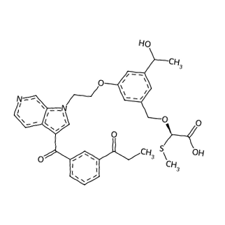 CCC(=O)c1cccc(C(=O)c2cn(CCOc3cc(CO[C@H](SC)C(=O)O)cc(C(C)O)c3)c3cnccc23)c1